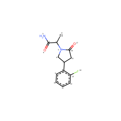 CCC(C(N)=O)N1CC(c2ccccc2F)CC1=O